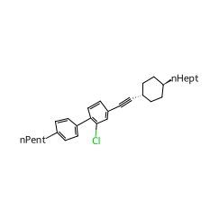 CCCCCCC[C@H]1CC[C@H](C#Cc2ccc(-c3ccc(CCCCC)cc3)c(Cl)c2)CC1